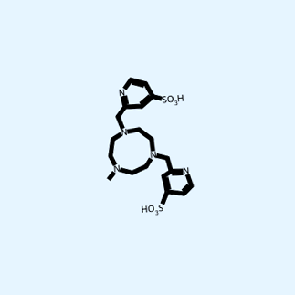 CN1CCN(Cc2cc(S(=O)(=O)O)ccn2)CCN(Cc2cc(S(=O)(=O)O)ccn2)CC1